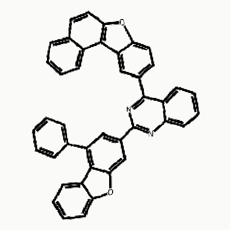 c1ccc(-c2cc(-c3nc(-c4ccc5oc6ccc7ccccc7c6c5c4)c4ccccc4n3)cc3oc4ccccc4c23)cc1